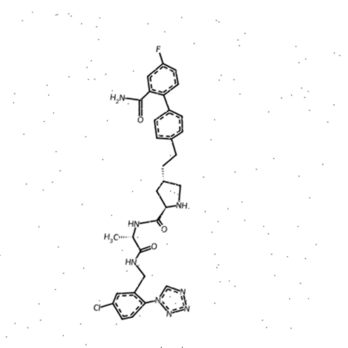 C[C@H](NC(=O)[C@H]1C[C@H](CCc2ccc(-c3ccc(F)cc3C(N)=O)cc2)CN1)C(=O)NCc1cc(Cl)ccc1-n1cnnn1